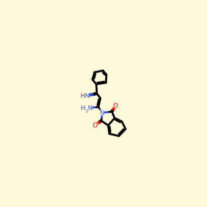 N=C(/C=C(\N)N1C(=O)c2ccccc2C1=O)c1ccccc1